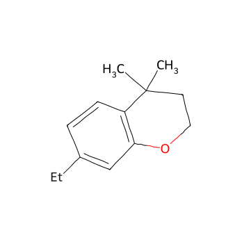 CCc1ccc2c(c1)OCCC2(C)C